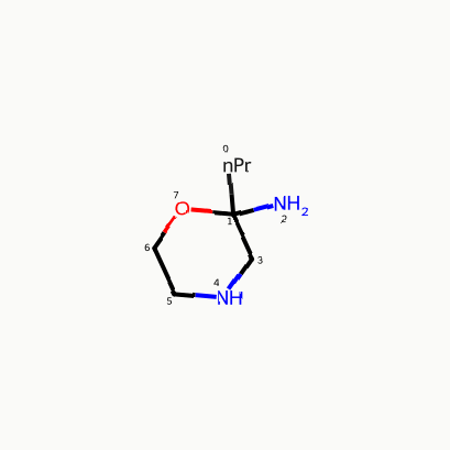 CCCC1(N)CNCCO1